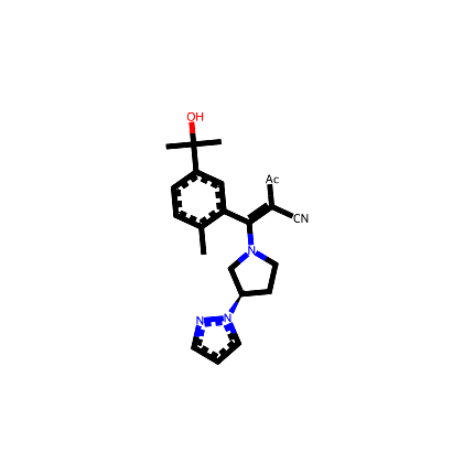 CC(=O)/C(C#N)=C(\c1cc(C(C)(C)O)ccc1C)N1CC[C@@H](n2cccn2)C1